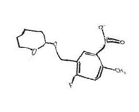 Cc1cc(F)c(COC2CCCCO2)cc1[N+](=O)[O-]